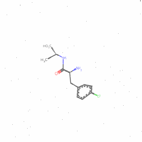 C[C@H](NC(=O)[C@@H](N)Cc1ccc(Cl)cc1)C(=O)O